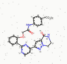 CCOC(=O)c1ccc(NC(=O)COc2ccccc2-c2nccc(-c3cc4n(n3)CCNC4=O)n2)cc1